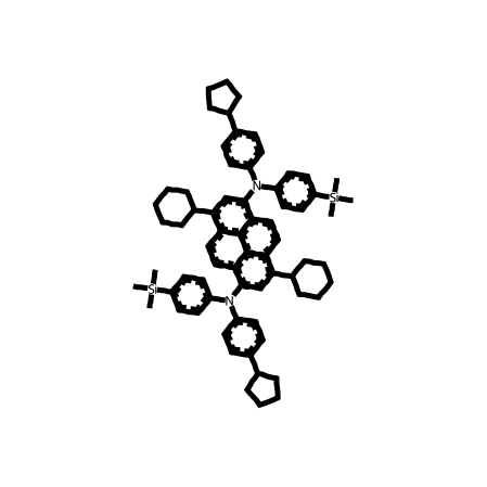 C[Si](C)(C)c1ccc(N(c2ccc(C3CCCC3)cc2)c2cc(C3CCCCC3)c3ccc4c(N(c5ccc(C6CCCC6)cc5)c5ccc([Si](C)(C)C)cc5)cc(C5CCCCC5)c5ccc2c3c54)cc1